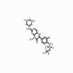 CCC(F)(F)CS(=O)(=O)Nc1ccc(-c2nc3cnc(N[C@@H]4CNC[C@@H](F)C4)nc3n(C(C)C)c2=O)cc1F